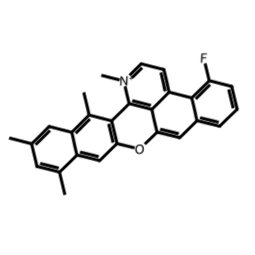 Cc1cc(C)c2cc3c(c(C)c2c1)-c1c2c(cc4cccc(F)c4c2cc[n+]1C)O3